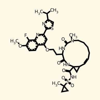 COc1ccc2c(OCCC3NC(=O)N(C)CCCC/C=C\C4CC4(C(=O)NS(=O)(=O)C4(C)CC4)NC3=O)cc(-c3nc(C(C)C)cs3)nc2c1F